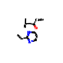 C=C(C)C(=O)OC.C=Cc1ncccn1